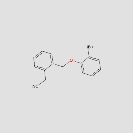 CCC(C)c1ccccc1OCc1ccccc1CC#N